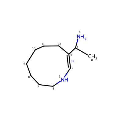 CC(N)/C1=C/NCCCCCCC1